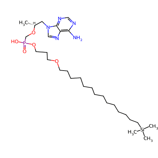 C[C@H](Cn1cnc2c(N)ncnc21)OCP(=O)(O)OCCCOCCCCCCCCCCCCCC[Si](C)(C)C